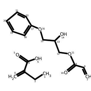 C=C(CC)C(=O)O.C=CC(=O)OCC(O)COc1ccccc1